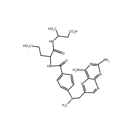 CN(Cc1cnc2nc(N)nc(N)c2n1)c1ccc(C(=O)NC(CCC(=O)O)C(=O)NC(CC(=O)O)C(=O)O)cc1